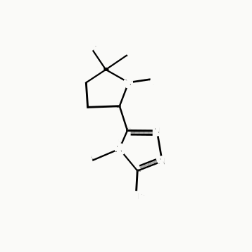 CC(C)c1nnc(C2CCC(C)(C)N2C)n1C